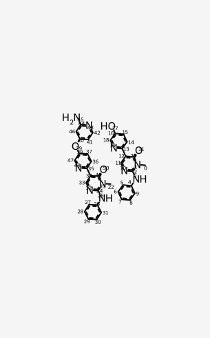 Cn1c(Nc2ccccc2)ncc(-c2ccc(O)cn2)c1=O.Cn1c(Nc2ccccc2)ncc(-c2ccc(Oc3ccnc(N)c3)cn2)c1=O